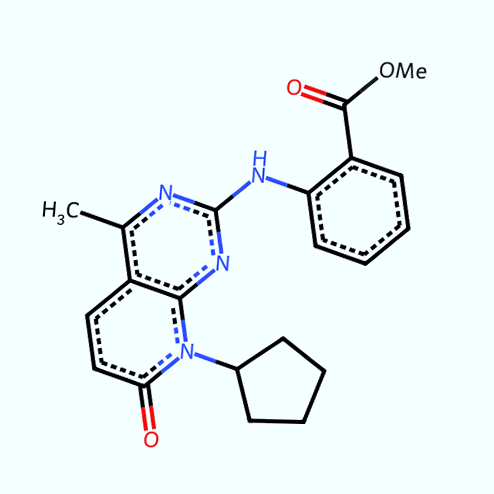 COC(=O)c1ccccc1Nc1nc(C)c2ccc(=O)n(C3CCCC3)c2n1